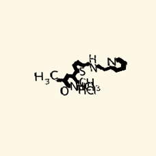 CCc1cc(-c2ccc(CNCCc3ccccn3)s2)c(C)[nH]c1=O.Cl.Cl